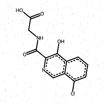 O=C(O)CNC(=O)c1ncc2c(Cl)cccc2c1O